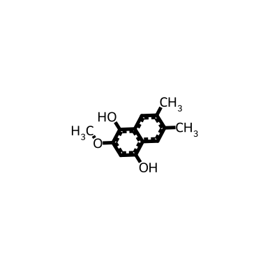 COc1cc(O)c2cc(C)c(C)cc2c1O